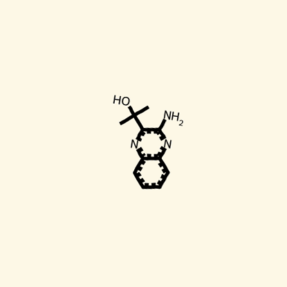 CC(C)(O)c1nc2ccccc2nc1N